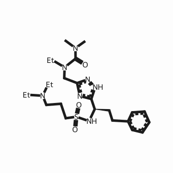 CCN(CC)CCCS(=O)(=O)N[C@H](CCc1ccccc1)c1nc(CN(CC)C(=O)N(C)C)n[nH]1